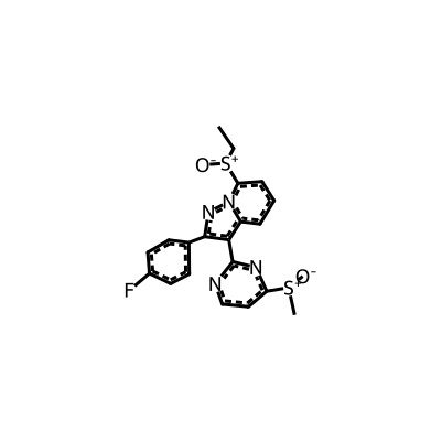 CC[S+]([O-])c1cccc2c(-c3nccc([S+](C)[O-])n3)c(-c3ccc(F)cc3)nn12